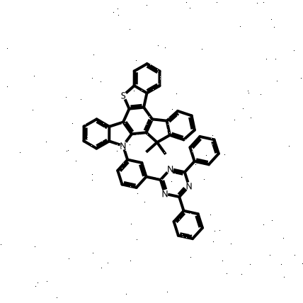 CC1(C)c2ccccc2-c2c1c1c(c3ccccc3n1-c1cccc(-c3nc(-c4ccccc4)nc(-c4ccccc4)n3)c1)c1sc3ccccc3c21